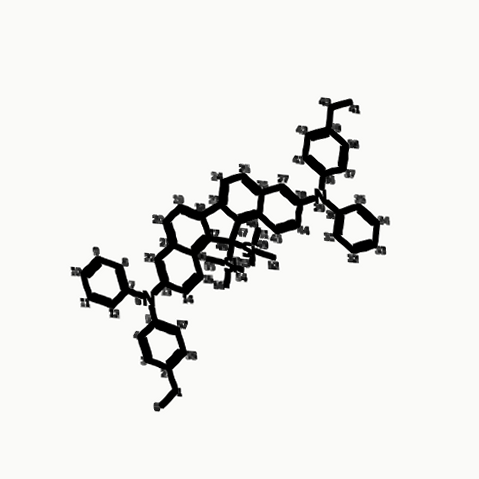 CCc1ccc(N(c2ccccc2)c2ccc3c4c(ccc3c2)-c2ccc3cc(N(c5ccccc5)c5ccc(CC)cc5)ccc3c2C4([Si](C)(C)C)[Si](C)(C)C)cc1